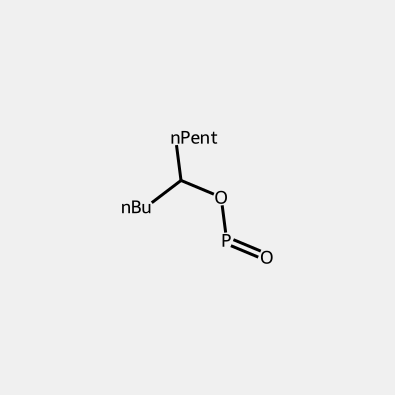 CCCCCC(CCCC)OP=O